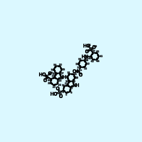 O=S(=O)(O)c1ccc2[nH]c3ccccc3c2c1.O=S(=O)(O)c1cccc2[nH]c3ccccc3c12.O=[N+]([O-])c1ccc(Nc2ccccc2S(=O)(=O)O)cc1